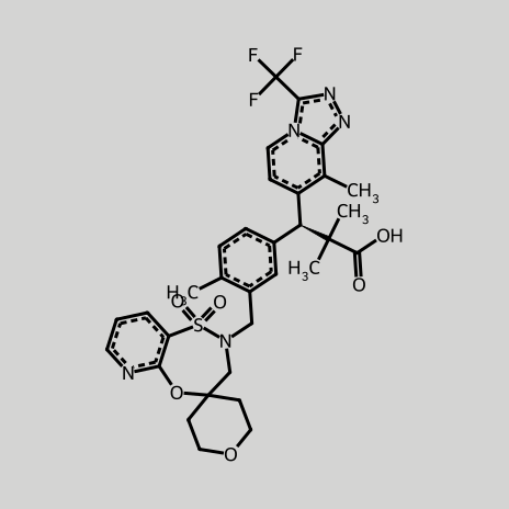 Cc1ccc([C@@H](c2ccn3c(C(F)(F)F)nnc3c2C)C(C)(C)C(=O)O)cc1CN1CC2(CCOCC2)Oc2ncccc2S1(=O)=O